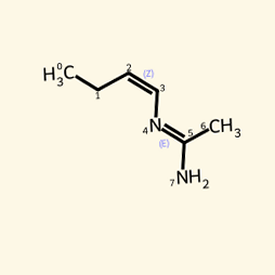 CC/C=C\N=C(/C)N